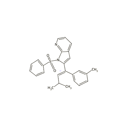 Cc1cccc(/C(=C\C(C)C)c2cc3cccnc3n2S(=O)(=O)c2ccccc2)c1